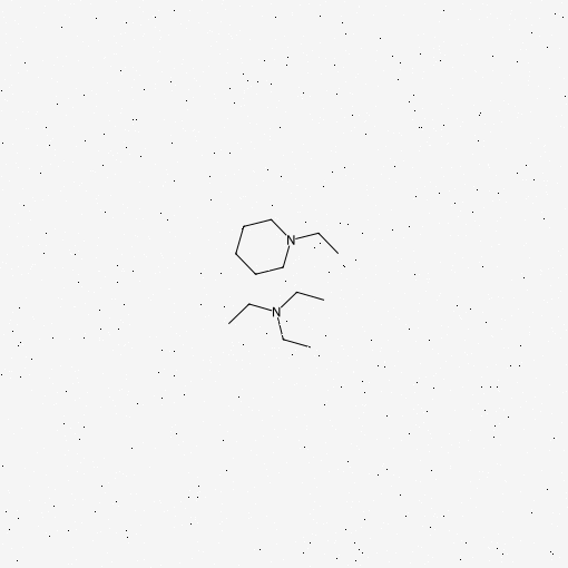 CCN(CC)CC.CCN1CCCCC1